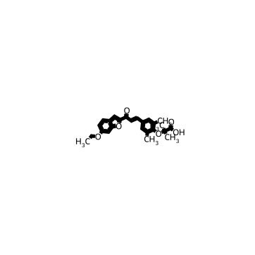 CCOc1ccc2cc(C(=O)/C=C/c3cc(C)c(OC(C)(C)C(=O)O)c(C)c3)oc2c1